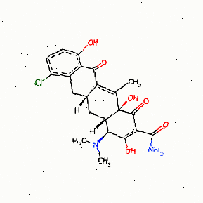 CC1=C2C(=O)c3c(O)ccc(Cl)c3C[C@H]2C[C@H]2[C@H](N(C)C)C(O)=C(C(N)=O)C(=O)[C@@]12O